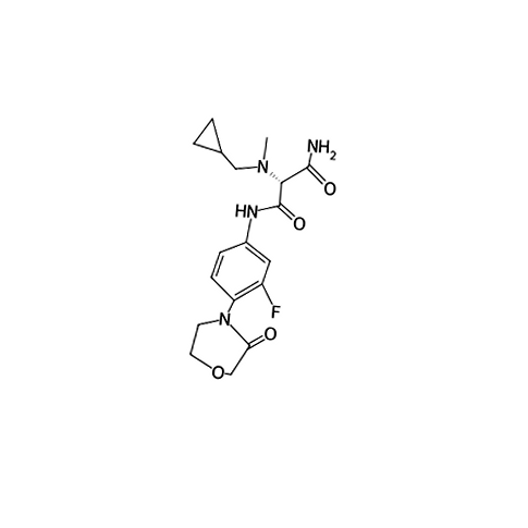 CN(CC1CC1)[C@H](C(N)=O)C(=O)Nc1ccc(N2CCOCC2=O)c(F)c1